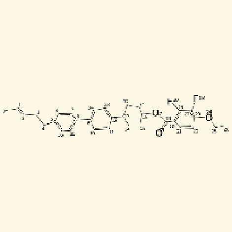 C/C=C/CCc1ccc(-c2ccc(C3CCC(OC(=O)c4ccc(OCC)c(F)c4F)CC3)cc2)cc1